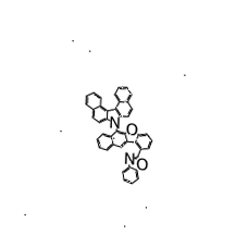 c1ccc2c(-n3c4ccc5ccccc5c4c4c5ccccc5ccc43)c3oc4cccc(-c5nc6ccccc6o5)c4c3cc2c1